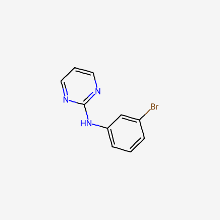 Brc1cccc(Nc2ncccn2)c1